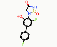 O=C1CN(c2c(O)cc(-c3ccc(F)cc3)cc2F)[S+]([O-])N1